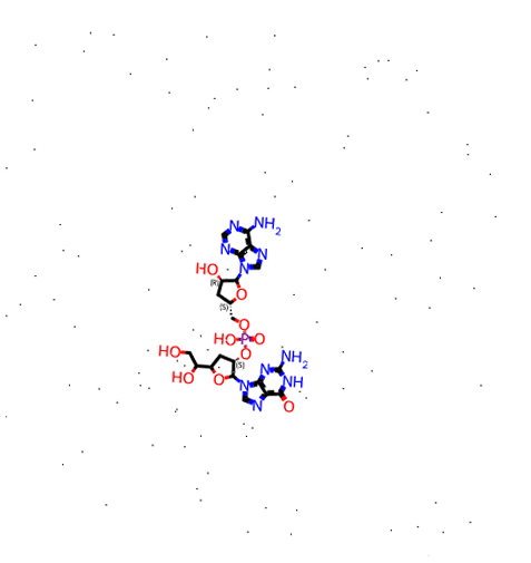 Nc1nc2c(ncn2C2OC(C(O)CO)C[C@@H]2OP(=O)(O)OC[C@@H]2C[C@@H](O)C(n3cnc4c(N)ncnc43)O2)c(=O)[nH]1